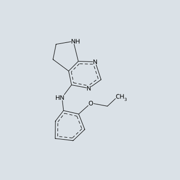 CCOc1ccccc1Nc1ncnc2c1CCN2